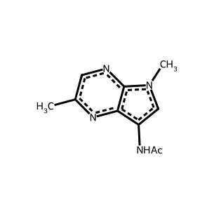 CC(=O)Nc1cn(C)c2ncc(C)nc12